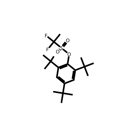 CC(C)(C)c1cc(C(C)(C)C)c(OS(=O)(=O)C(C)(F)F)c(C(C)(C)C)c1